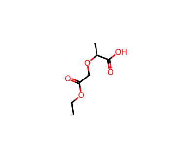 CCOC(=O)CO[C@@H](C)C(=O)O